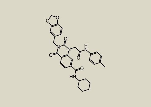 Cc1ccc(NC(=O)Cn2c(=O)n(Cc3ccc4c(c3)OCO4)c(=O)c3ccc(C(=O)NC4CCCCC4)cc32)cc1